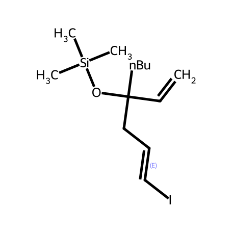 C=CC(C/C=C/I)(CCCC)O[Si](C)(C)C